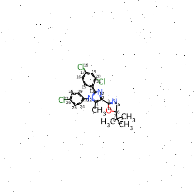 Cc1c(C2=NCC(C(C)(C)C)O2)nc(-c2ccc(Cl)cc2Cl)n1-c1ccc(Cl)cc1